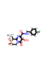 CC1c2nc(C(=O)NCc3ccc(F)cc3)c(O)c(=O)n2CCS1(=O)=O